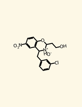 O=[N+]([O-])c1ccc2c(c1)C(Cc1cccc(Cl)c1)[NH+]([O-])C(CCO)O2